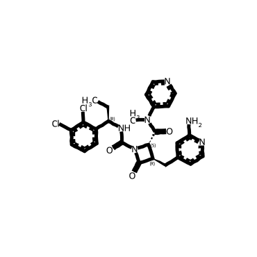 CC[C@@H](NC(=O)N1C(=O)[C@H](Cc2ccnc(N)c2)[C@H]1C(=O)N(C)c1ccncc1)c1cccc(Cl)c1Cl